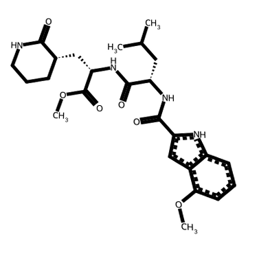 COC(=O)[C@H](C[C@@H]1CCCNC1=O)NC(=O)[C@H](CC(C)C)NC(=O)c1cc2c(OC)cccc2[nH]1